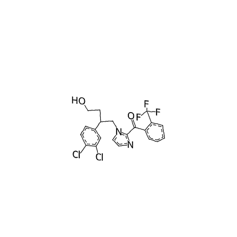 O=C(c1ccccc1C(F)(F)F)c1nccn1CC(CCO)c1ccc(Cl)c(Cl)c1